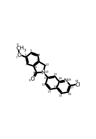 COc1ccc2c(c1)C(=O)N(c1ccc3ccc(Cl)nc3c1)C2